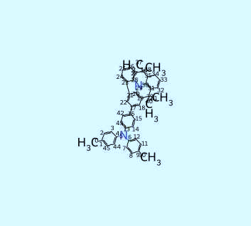 Cc1ccc(N(c2ccc(C)cc2)c2ccc(-c3cc4c5c(c3)c3cccc6c3n5C3=C(C=CCC3C6(C)C)C4(C)C)cc2)cc1